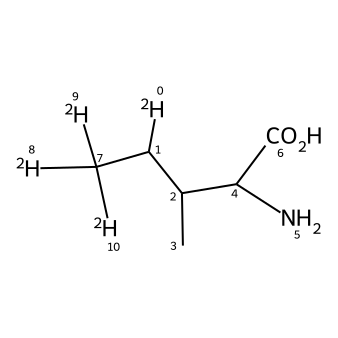 [2H]C(C(C)C(N)C(=O)O)C([2H])([2H])[2H]